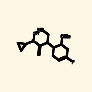 CCCN(C(=O)C(CO)C1CC=C(F)CC1OC)C1CC1